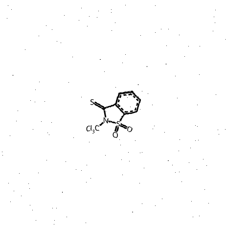 O=S1(=O)c2ccccc2C(=S)N1C(Cl)(Cl)Cl